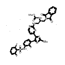 COC(=O)NC(CNc1nccc(-c2sc(C(C)(C)C)nc2-c2cccc(NS(=O)(=O)c3c(F)cccc3F)c2F)n1)CN1C(=O)c2ccccc2C1=O